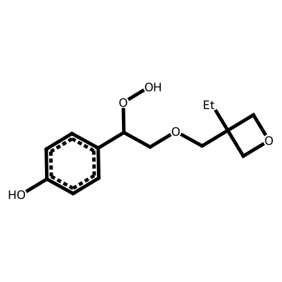 CCC1(COCC(OO)c2ccc(O)cc2)COC1